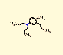 CCCc1cc(N(CCC)CCC)ccc1C